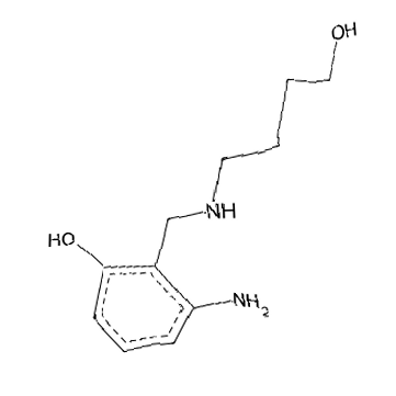 Nc1cccc(O)c1CNCCCCO